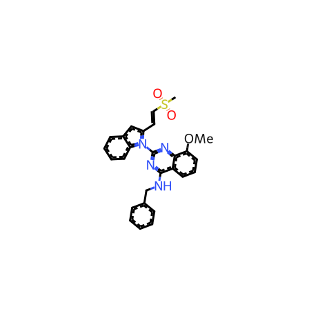 COc1cccc2c(NCc3ccccc3)nc(-n3c(C=CS(C)(=O)=O)cc4ccccc43)nc12